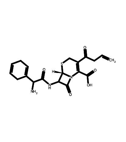 C=CCC(=O)C1=C(C(=O)O)N2C(=O)C(NC(=O)C(N)C3=CCC=CC3)[C@@H]2SC1